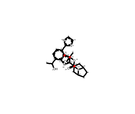 CC(O)c1ccc(-c2nccs2)c2oc(N3CC4CCC(C3)N4C(=O)OC(C)(C)C)nc12